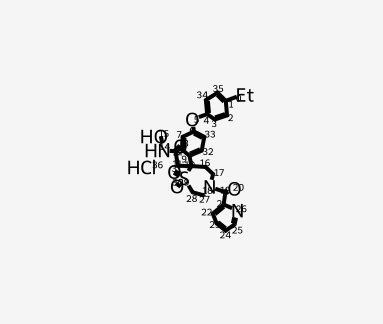 CCc1ccc(Oc2ccc(C3(CC(=O)NO)CCN(C(=O)c4ccccn4)CCS3(=O)=O)cc2)cc1.Cl